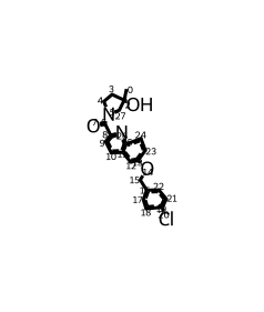 CC1(O)CCN(C(=O)c2ccc3cc(OCc4ccc(Cl)cc4)ccc3n2)C1